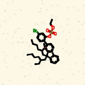 CCCCC(CC)CC1(CC(CC)CCCC)c2ccccc2-c2ccc(-c3ccc(Br)cc3OS(=O)(=O)OCC)cc21